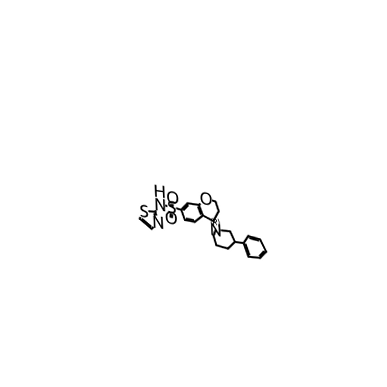 O=S(=O)(Nc1nccs1)c1ccc2c(c1)OCC[C@H]2N1CCCC(c2ccccc2)C1